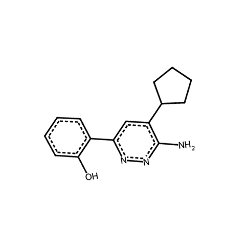 Nc1nnc(-c2ccccc2O)cc1C1CCCC1